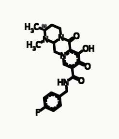 C[C@H]1CCN2C(=O)c3c(O)c(=O)c(C(=O)NCc4ccc(F)cc4)cn3CC2N1C